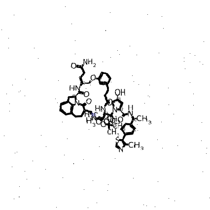 Cc1ncsc1-c1ccc([C@H](C)NC(=O)[C@@H]2C[C@@H](O)CN2C(=O)[C@@H](NC(=O)CCc2cccc(OC[C@H](CCC(N)=O)NC(=O)[C@@H]3Cc4cccc5c4N3C(=O)C(/C=N/C(=O)OC(C)(C)C)CC5)c2)C(C)(C)C)cc1